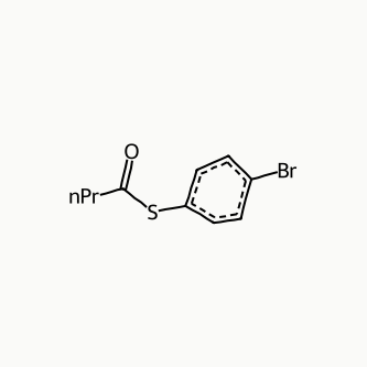 CCCC(=O)Sc1ccc(Br)cc1